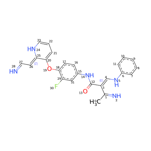 CC(=N)/C(=C\Nc1ccccc1)C(=O)Nc1ccc(OC2=CC=CN/C2=C\C=N)c(F)c1